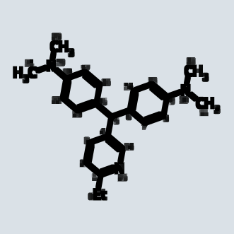 CCc1ccc(C(c2ccc(N(C)C)cc2)c2ccc(N(C)C)cc2)cn1